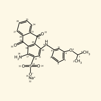 CC(C)Oc1cccc(Nc2cc(S(=O)(=O)[O-])c(N)c3c2C(=O)c2ccccc2C3=O)c1.[Na+]